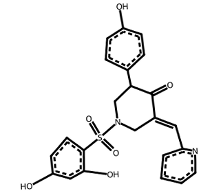 O=C1C(=Cc2ccccn2)CN(S(=O)(=O)c2ccc(O)cc2O)CC1c1ccc(O)cc1